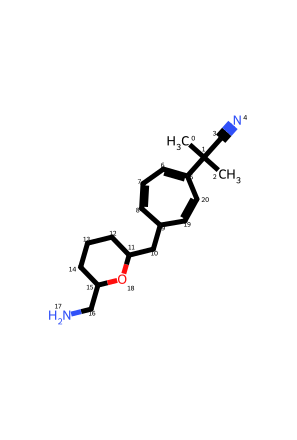 CC(C)(C#N)C1=CC=CC(CC2CCCC(CN)O2)C=C1